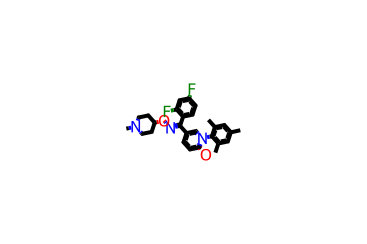 Cc1cc(C)c(-n2cc(/C(=N/OC3CCN(C)CC3)c3ccc(F)cc3F)ccc2=O)c(C)c1